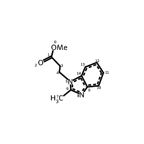 COC(=O)CCn1c(C)nc2ccccc21